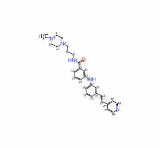 CN1CCN(CCCNC(=O)c2cccc(Nc3cccc(/C=C/c4ccncc4)c3)c2)CC1